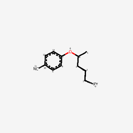 CC(C)CCCC(C)Oc1ccc(C#N)cc1